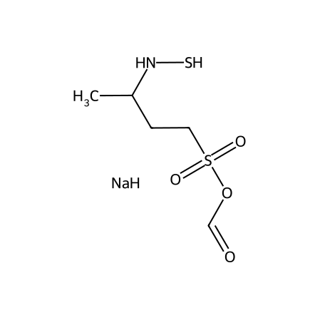 CC(CCS(=O)(=O)OC=O)NS.[NaH]